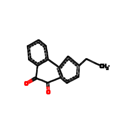 [CH2]Cc1ccc2c(c1)-c1ccccc1C(=O)C2=O